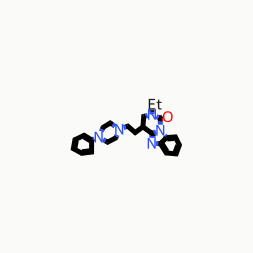 CCN1CC(CCN2CCN(c3ccccc3)CC2)c2nc3ccccc3n2C1=O